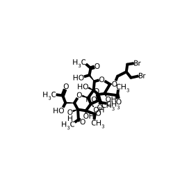 CC(=O)C(O)[C@H]1O[C@H](OCC(CBr)CBr)[C@@](O)(C(C)=O)[C@](O)(C(C)=O)[C@]1(O)[C@@H]1O[C@H](C(O)C(C)=O)[C@@](O)(C(C)=O)[C@@](O)(C(C)=O)[C@]1(O)C(C)=O